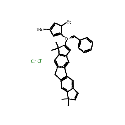 CCC1C=C(C(C)(C)C)C=[C]1[Zr+2](=[CH]c1ccccc1)[C]1=Cc2cc3c(cc2C1(C)C)Cc1cc2c(cc1-3)C=CC2(C)C.[Cl-].[Cl-]